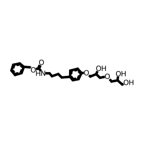 O=C(NCCCCc1ccc(OCC(O)COCC(O)CO)cc1)OCc1ccccc1